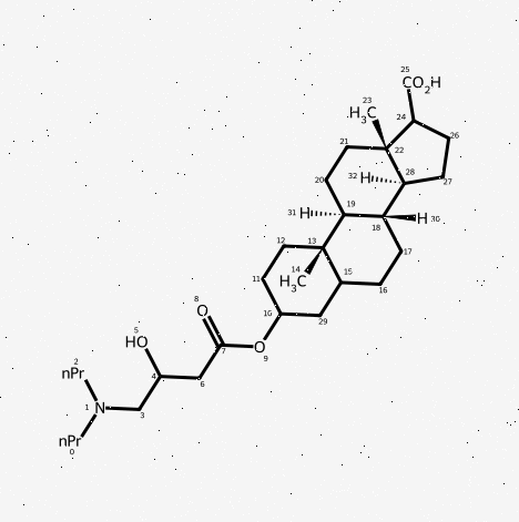 CCCN(CCC)CC(O)CC(=O)OC1CC[C@@]2(C)C(CC[C@@H]3[C@@H]2CC[C@]2(C)C(C(=O)O)CC[C@@H]32)C1